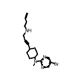 C=CCCNCC#CC1CCC(N(C)c2ncc(Br)cn2)CC1